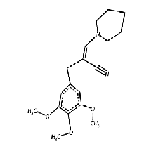 COc1cc(CC(C#N)=CN2CCCCC2)cc(OC)c1OC